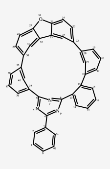 c1ccc(-c2nc3nc(n2)c2ccccc2c2cccc(c2)c2ccc4oc5ccc(cc5c4c2)c2cccc3c2)cc1